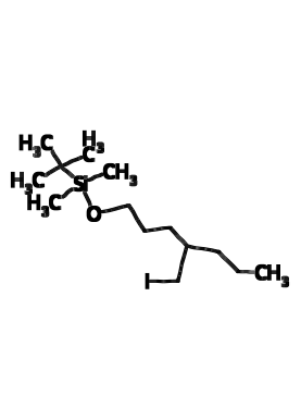 CCCC(CI)CCCO[Si](C)(C)C(C)(C)C